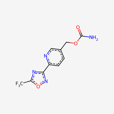 NC(=O)OCc1ccc(-c2noc(C(F)(F)F)n2)nc1